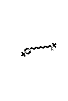 CC(C)(C)NCCCCCCCCCN1CCN(C(C)(C)C)CC1